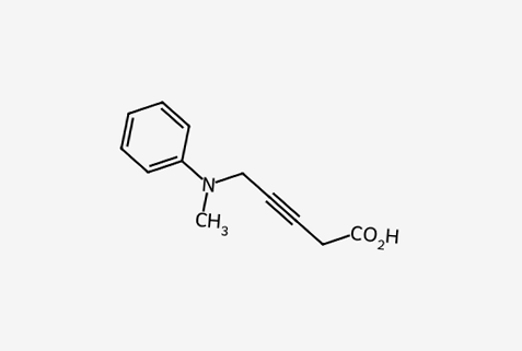 CN(CC#CCC(=O)O)c1ccccc1